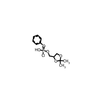 CC1(C)OCC(CO[PH](O)(Cl)Oc2ccccc2)O1